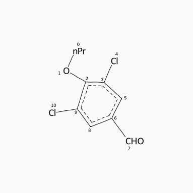 CCCOc1c(Cl)cc(C=O)cc1Cl